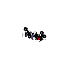 CCOC(=O)/C(=C\c1cc2ccnc(NC(c3ccccc3)(c3ccccc3)c3ccccc3)c2cc1OC)N1CCC(NC(=O)OCc2ccccc2)C1=O